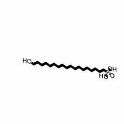 O=P(O)(O)CCCCCCCCCCCCCCCCCCO